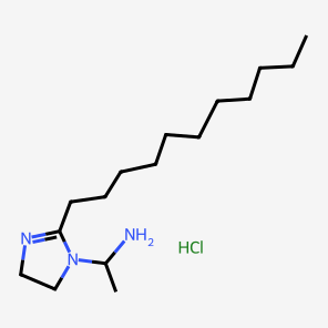 CCCCCCCCCCCC1=NCCN1C(C)N.Cl